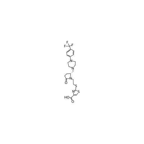 O=C(O)c1csc(SCCN2C(=O)CC[C@@H]2CN2CCN(c3ccc(C(F)(F)F)cc3)CC2)n1